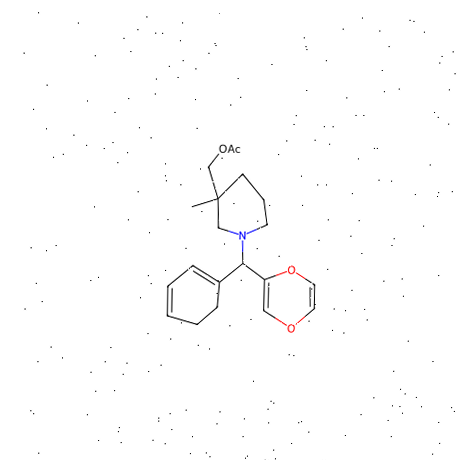 CC(=O)OCC1(C)CCCN(C(C2=CC=CCC2)C2=COC=CO2)C1